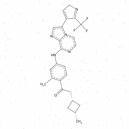 Cc1cc(Nc2nccn3c(C4=CCN=C4C(F)(F)F)cnc23)ccc1C(=O)C[C@H]1C[C@@H](C)C1